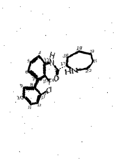 O=C(Nc1cccc(-c2ccccc2Cl)c1F)[C@@H]1CCCCCN1